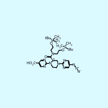 CC(C)(C)[Si](C)(C)OCCN(CCO[Si](C)(C)C(C)(C)C)C(=O)[C@H]1CN(c2ncc(N=[N+]=[N-])cn2)CCN1c1ncc(C(=O)O)cn1